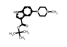 CN1CCN(c2ccc3[nH]cc(C(=O)OC(C)(C)C)c3c2)CC1